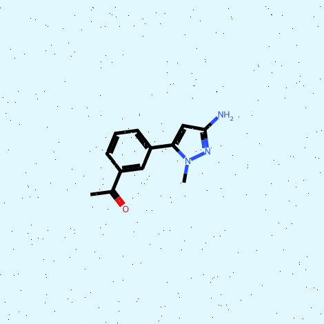 CC(=O)c1cccc(-c2cc(N)nn2C)c1